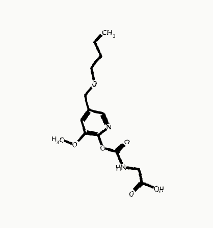 CCCCOCc1cnc(OC(=O)NCC(=O)O)c(OC)c1